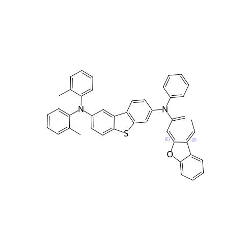 C=C(/C=c1/oc2ccccc2/c1=C/C)N(c1ccccc1)c1ccc2c(c1)sc1ccc(N(c3ccccc3C)c3ccccc3C)cc12